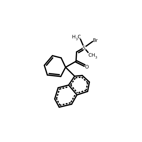 C[S](C)(Br)=CC(=O)C1(c2cccc3ccccc23)C=CC=CC1